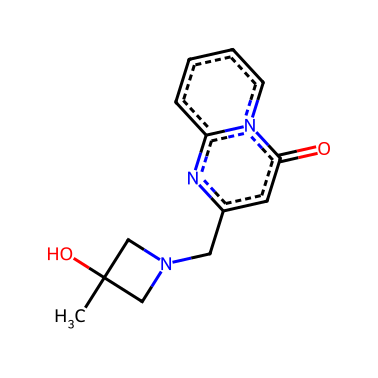 CC1(O)CN(Cc2cc(=O)n3ccccc3n2)C1